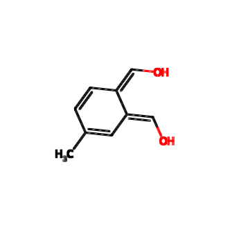 Cc1ccc(=CO)c(=CO)c1